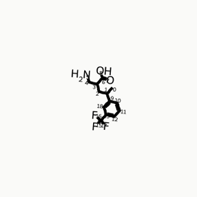 CC(CC(CN)C(=O)O)c1cccc(C(F)(F)F)c1